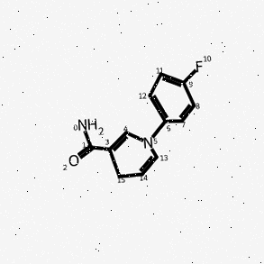 NC(=O)C1=CN(c2ccc(F)cc2)C=CC1